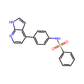 O=S(=O)(Nc1ccc(-c2ccnc3[nH]ccc23)cc1)c1ccccc1